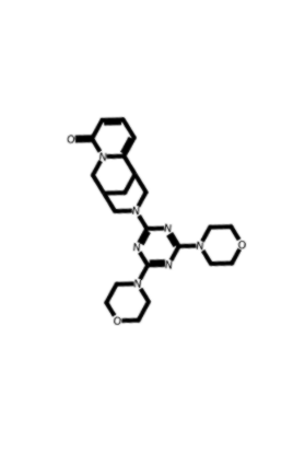 O=c1cccc2n1CC1CC2CN(c2nc(N3CCOCC3)nc(N3CCOCC3)n2)C1